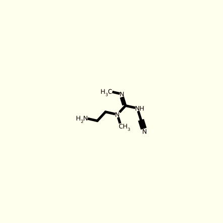 CN=C(NC#N)N(C)CCN